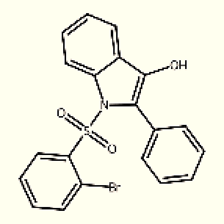 O=S(=O)(c1ccccc1Br)n1c(-c2ccccc2)c(O)c2ccccc21